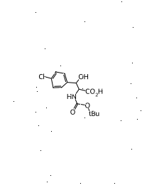 CC(C)(C)OC(=O)NC(C(=O)O)C(O)c1ccc(Cl)cc1